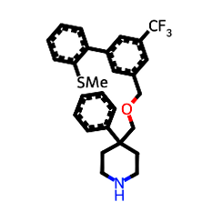 CSc1ccccc1-c1cc(COCC2(c3ccccc3)CCNCC2)cc(C(F)(F)F)c1